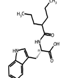 CCCC(CCC)C(=O)N[C@@H](Cc1c[nH]c2ccccc12)C(=O)O